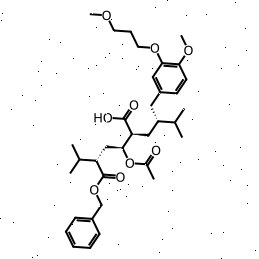 COCCCOc1cc(C[C@@H](C[C@H](C(=O)O)[C@H](C[C@H](C(=O)OCc2ccccc2)C(C)C)OC(C)=O)C(C)C)ccc1OC